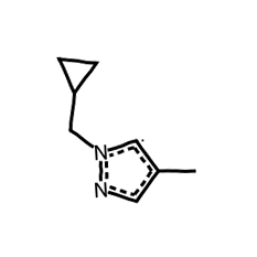 Cc1[c]n(CC2CC2)nc1